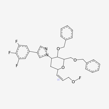 FOC/C=C\C1CC(n2cc(-c3cc(F)c(F)c(F)c3)cn2)C(OCc2ccccc2)C(COCc2ccccc2)O1